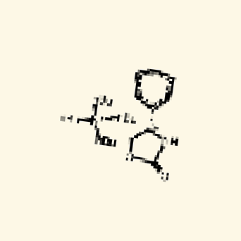 CCCC[N+](CCCC)(CCCC)CCCC.O=C1N[C@@H](c2ccccc2)CO1